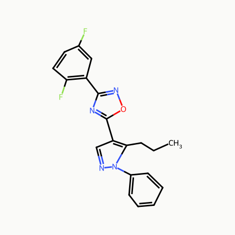 CCCc1c(-c2nc(-c3cc(F)ccc3F)no2)cnn1-c1ccccc1